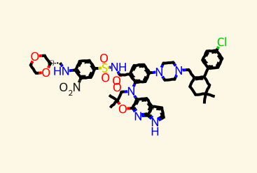 CC1(C)CCC(CN2CCN(c3ccc(C(=O)NS(=O)(=O)c4ccc(NC[C@H]5COCCO5)c([N+](=O)[O-])c4)c(N4C(=O)C(C)(C)Oc5nc6[nH]ccc6cc54)c3)CC2)=C(c2ccc(Cl)cc2)C1